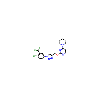 FC(F)c1cc(-n2cc(COc3nccc(N4CCCCC4)n3)nn2)ccc1Cl